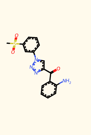 CS(=O)(=O)c1cccc(-n2cc(C(=O)c3ccccc3N)nn2)c1